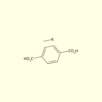 O=C(O)c1ccc(C(=O)O)cc1.[CH3][K]